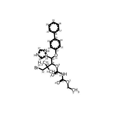 CCOC(=O)NC(=O)OC(C(Oc1ccc(-c2ccccc2)cc1)n1cncn1)C(C)(C)CBr